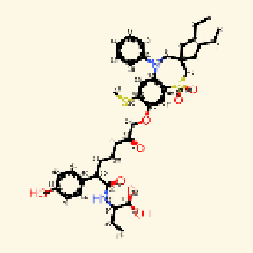 CCCCC1(CCCC)CN(c2ccccc2)c2cc(SC)c(OCC(=O)CCCC(C(=O)NC(CC)C(=O)O)c3ccc(O)cc3)cc2S(=O)(=O)C1